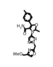 COCc1coc(Cn2ncc(N3C(C(N)=O)=C(c4ccc(C)cc4)OC3C)n2)n1